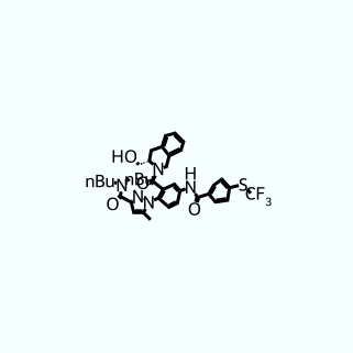 CCCCN(CCCC)C(=O)c1cc(C)n(-c2ccc(NC(=O)c3ccc(SC(F)(F)F)cc3)cc2C(=O)N2Cc3ccccc3C[C@H]2CO)n1